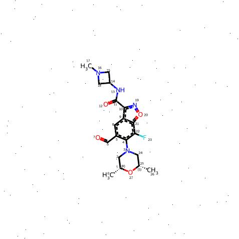 C[C@@H]1CN(c2c(C=O)cc3c(C(=O)NC4CN(C)C4)noc3c2F)C[C@H](C)O1